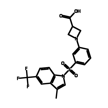 Cc1cn(S(=O)(=O)c2cccc(N3CC(C(=O)O)C3)c2)c2ccc(C(F)(F)F)cc12